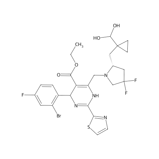 CCOC(=O)C1=C(CN2CC(F)(F)C[C@H]2CC2(C(O)O)CC2)NC(c2nccs2)=NC1c1ccc(F)cc1Br